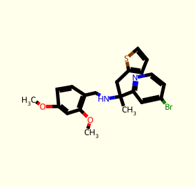 COc1ccc(CNC(C)(Cc2cccs2)c2cc(Br)ccn2)c(OC)c1